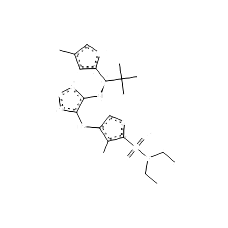 CCN(CC)S(=O)(=O)c1scc(Nc2nonc2N[C@@H](c2cc(C)co2)C(C)(C)C)c1O